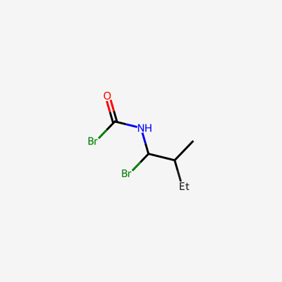 CCC(C)C(Br)NC(=O)Br